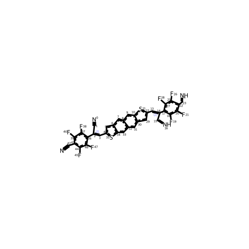 N#C/C(=C\c1cc2cc3cc4sc(/C=C(\C=N)c5c(F)c(F)c(C=N)c(F)c5F)cc4cc3cc2s1)c1c(F)c(F)c(C#N)c(F)c1F